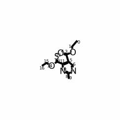 CCOC(=O)c1cnc(C)nc1C(=S)OCC